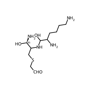 NCCCCC(N)C(O)NC(CSCC=O)[C@H](N)O